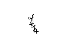 CCCC(=O)OCC(C)(C)OC(C)C1=CCC(C)(C)C1